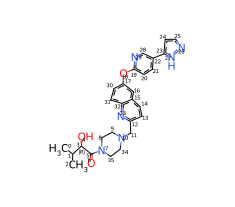 CC(C)[C@@H](O)C(=O)N1CCN(Cc2ccc3cc(Oc4ccc(-c5ccn[nH]5)cn4)ccc3n2)CC1